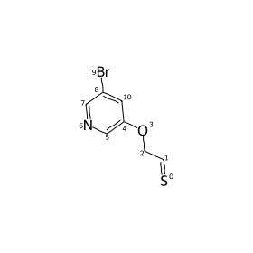 S=CCOc1cncc(Br)c1